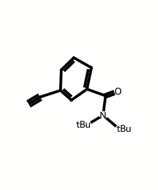 C#Cc1cccc(C(=O)N(C(C)(C)C)C(C)(C)C)c1